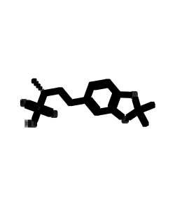 C[C@H](CCc1ccc2c(c1)OC(C)(C)O2)S(=O)(=O)O